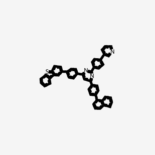 c1cncc(-c2ccc(-c3nc(-c4ccc(-c5ccc6sc7ccccc7c6c5)cc4)cc(-c4ccc(-c5cccc6ccccc56)cc4)n3)cc2)c1